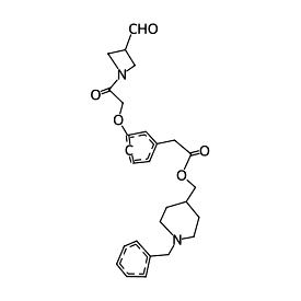 O=CC1CN(C(=O)COc2cccc(CC(=O)OCC3CCN(Cc4ccccc4)CC3)c2)C1